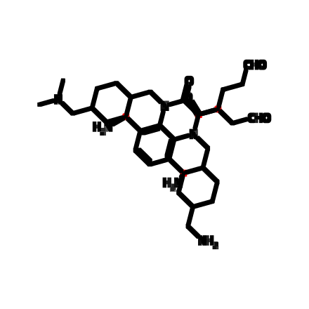 CN(C)CC1CCC(CN(C(=O)CCCC=O)c2c(CN)ccc(CN)c2N(CC2CCC(CN)CC2)C(=O)CCCC=O)CC1